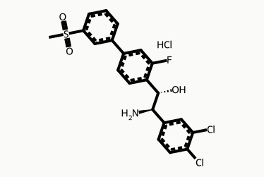 CS(=O)(=O)c1cccc(-c2ccc([C@H](O)[C@H](N)c3ccc(Cl)c(Cl)c3)c(F)c2)c1.Cl